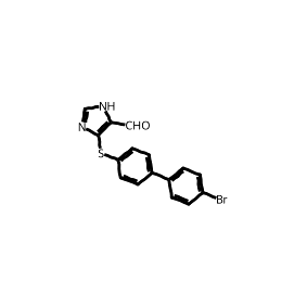 O=Cc1[nH]cnc1Sc1ccc(-c2ccc(Br)cc2)cc1